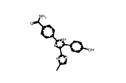 Cc1csc(-c2nc(-c3ccc(C(N)=O)cc3)[nH]c2-c2ccc(O)cc2)n1